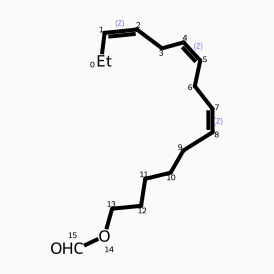 CC/C=C\C/C=C\C/C=C\CCCCCOC=O